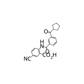 N#Cc1ccc(NC(=O)c2cccc(C(=O)C3CCCC3)c2)c(C(=O)O)c1